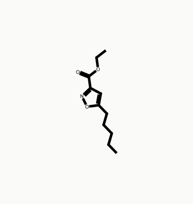 CCCCCc1cc(C(=O)OCC)no1